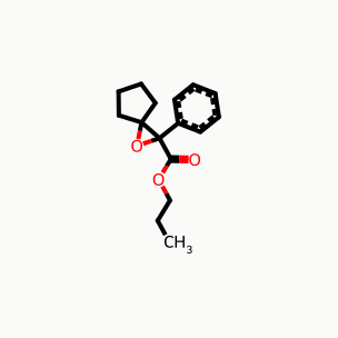 CCCOC(=O)C1(c2ccccc2)OC12CCCC2